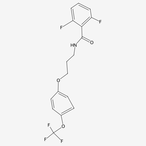 O=C(NCCCOc1ccc(OC(F)(F)F)cc1)c1c(F)cccc1F